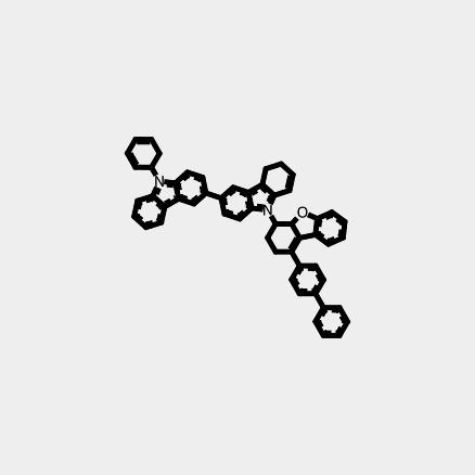 C1=CCC(n2c3ccccc3c3cc(-c4ccc5c(c4)c4c(n5C5CCC(c6ccc(-c7ccccc7)cc6)=C6c7ccccc7OC65)C=CCC4)ccc32)C=C1